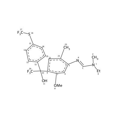 CCN(C)/C=N/c1cc(OC)c(C(O)(c2ccc(SC(F)(F)F)cc2)C(F)(F)F)cc1C